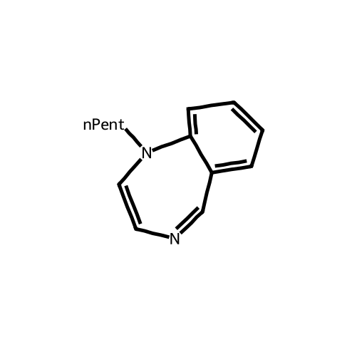 CCCCCN1C=CN=Cc2ccccc21